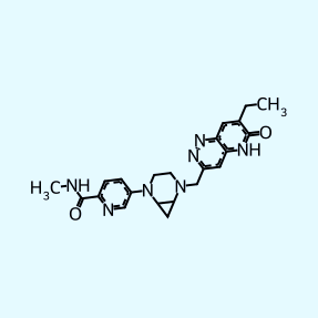 CCc1cc2nnc(CN3CCN(c4ccc(C(=O)NC)nc4)C4CC43)cc2[nH]c1=O